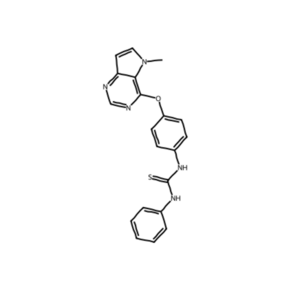 Cn1ccc2ncnc(Oc3ccc(NC(=S)Nc4ccccc4)cc3)c21